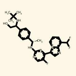 C[C@H](Nc1ncc(F)c(-c2cnc3c(C(F)F)cccn23)n1)c1ccc(C(CO)NC(C)(C)C)cc1